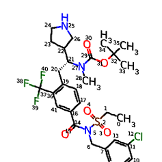 CCS(=O)(=O)N(Cc1cccc(Cl)c1)C(=O)c1ccc(C[C@H](C2CCNC2)N(C)C(=O)OC(C)(C)C)c(C(F)(F)F)c1